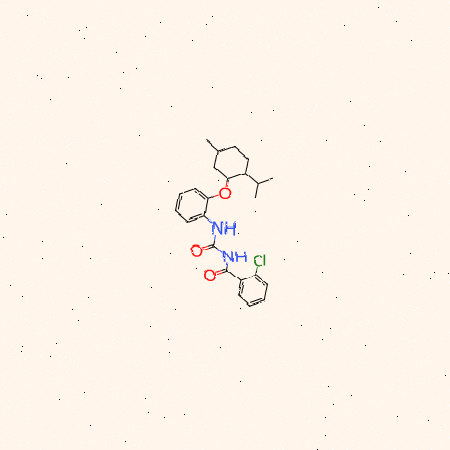 CC1CCC(C(C)C)C(Oc2ccccc2NC(=O)NC(=O)c2ccccc2Cl)C1